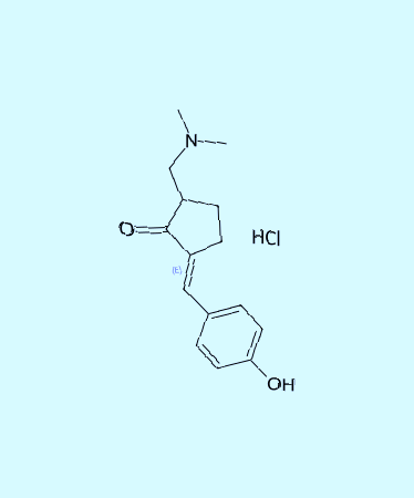 CN(C)CC1CC/C(=C\c2ccc(O)cc2)C1=O.Cl